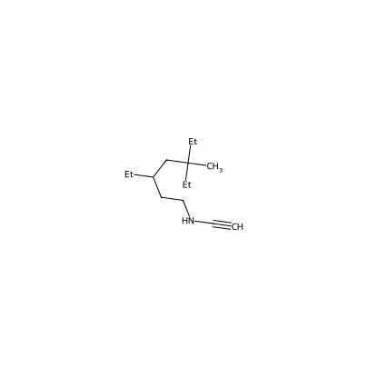 C#CNCCC(CC)CC(C)(CC)CC